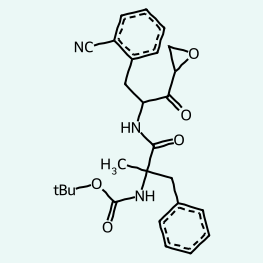 CC(C)(C)OC(=O)NC(C)(Cc1ccccc1)C(=O)NC(Cc1ccccc1C#N)C(=O)C1CO1